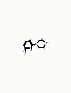 [3H]c1cccc(N2CCOCC2)n1